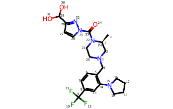 C[C@H]1CN(Cc2ccc(C(F)(F)F)cc2N2CCCC2)CCN1C(=O)n1ccc(C(O)O)n1